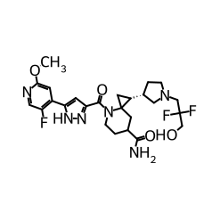 COc1cc(-c2cc(C(=O)N3CCC(C(N)=O)CC34CC4[C@@H]3CCN(CC(F)(F)CO)C3)n[nH]2)c(F)cn1